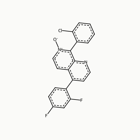 [O-][n+]1ccc2c(-c3ccc(F)cc3F)ccnc2c1-c1ccccc1Cl